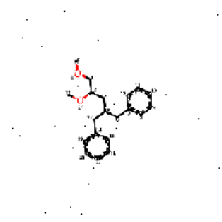 COCC(CC(Cc1ccccc1)Cc1ccccc1)OC